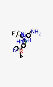 N=C(Nc1cc(C(OCC2CC2)c2cccnc2)ccc1F)c1cc(C(F)(F)F)nn1-c1cccc(CN)c1